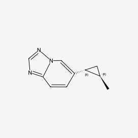 C[C@@H]1C[C@H]1c1ccc2ncnn2c1